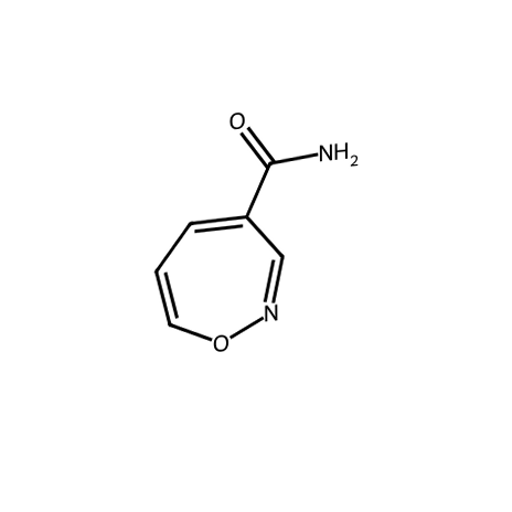 NC(=O)C1=CC=CON=C1